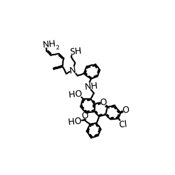 C=C(/C=C\C=C/N)CN(CCS)Cc1ccccc1NCc1c(O)ccc2c(-c3ccccc3C(=O)O)c3cc(Cl)c(=O)cc-3oc12